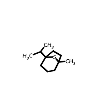 CC(C)C12CCCC(C)(CC1)S2